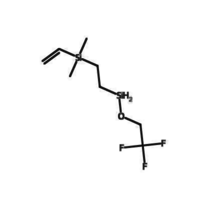 C=C[Si](C)(C)CC[SiH2]OCC(F)(F)F